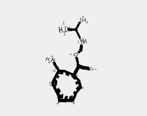 CC(C)NOC(=O)c1ccccc1N